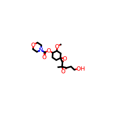 COC1CC2(CCC1OC(=O)N1CCOCC1)OC2C1(C)OC1CCO